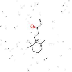 C=CC(=O)CC[C@H]1C(C)=CCCC1(C)C